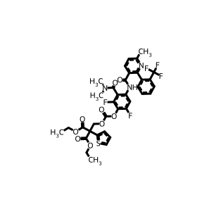 CCOC(=O)C(COC(=O)Oc1c(F)cc(NC(=O)c2ccc(C)nc2-c2ccccc2C(F)(F)F)c(C(=O)N(C)C)c1F)(C(=O)OCC)c1cccs1